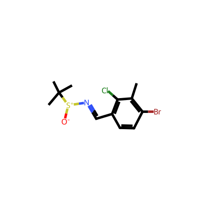 Cc1c(Br)ccc(C=N[S+]([O-])C(C)(C)C)c1Cl